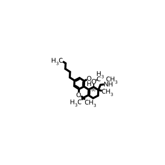 CCCCCc1cc(O)c2c(c1)OC(C)(C)C1=C2[C@@H](OC)C(C)(CNC)CC1